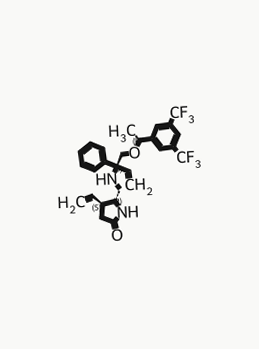 C=C[C@@H]1CC(=O)N[C@H]1CN[C@](C=C)(CO[C@H](C)c1cc(C(F)(F)F)cc(C(F)(F)F)c1)c1ccccc1